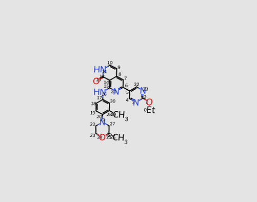 CCOc1ncc(-c2cc3cc[nH]c(=O)c3c(Nc3ccc(N4CCO[C@@H](C)C4)c(C)c3)n2)cn1